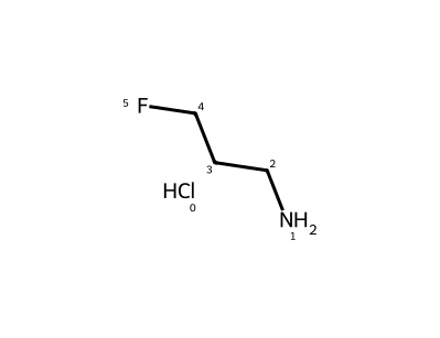 Cl.NCCCF